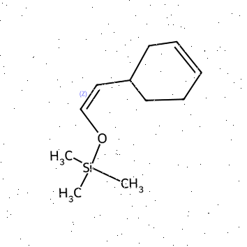 C[Si](C)(C)O/C=C\C1CC=CCC1